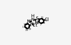 CCn1c(Nc2nc3ccc(Cl)cc3s2)nc2ccccc21